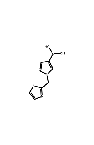 OB(O)c1cnn(Cc2nccs2)c1